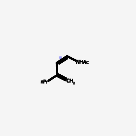 C=C(/C=C\NC(C)=O)CCC